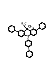 CCC1(C)c2cc(-c3ccccc3)ccc2N(c2ccc(-c3ccccc3)cc2)c2ccc(-c3ccccc3)cc21